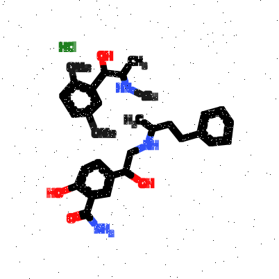 CC(CCc1ccccc1)NCC(O)c1ccc(O)c(C(N)=O)c1.COc1ccc(OC)c(C(O)C(C)NC(C)(C)C)c1.Cl